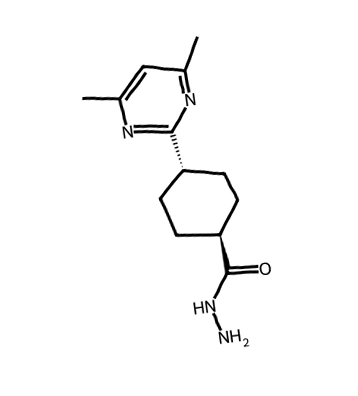 Cc1cc(C)nc([C@H]2CC[C@H](C(=O)NN)CC2)n1